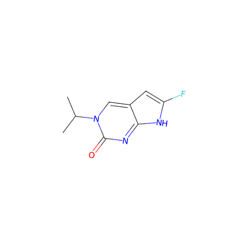 CC(C)n1cc2cc(F)[nH]c2nc1=O